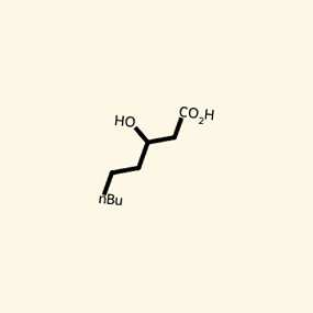 CCCCCCC(O)CC(=O)O